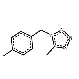 Cc1ccc(Cn2nnnc2C)cc1